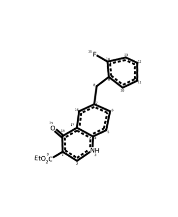 CCOC(=O)c1c[nH]c2ccc(Cc3ccccc3F)cc2c1=O